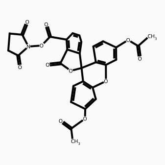 CC(=O)Oc1ccc2c(c1)Oc1cc(OC(C)=O)ccc1C21OC(=O)c2c(C(=O)ON3C(=O)CCC3=O)cccc21